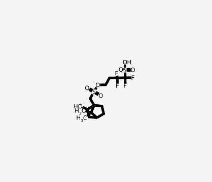 CC1(C)C2CCC1(CS(=O)(=O)OCCC(F)(F)C(F)(F)S(=O)(=O)O)C(O)C2